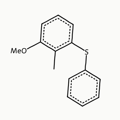 COc1cccc(Sc2ccccc2)c1C